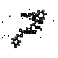 Cl.N[C@@H](CCCNC(=O)OCc1ccccc1)C(=O)Nc1ccccc1OCC(=O)O